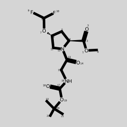 COC(=O)[C@@H]1C[C@@H](OC(F)F)CN1C(=O)CNC(=O)OC(C)(C)C